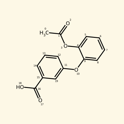 CC(=O)Oc1ccccc1Oc1cccc(C(=O)O)c1